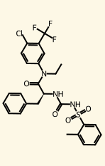 CCN(C(=O)[C@H](Cc1ccccc1)NC(=O)NS(=O)(=O)c1ccccc1C)c1ccc(Cl)c(C(F)(F)F)c1